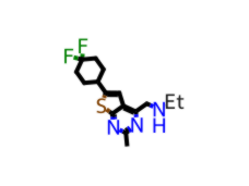 CCNCc1nc(C)nc2sc(C3CCC(F)(F)CC3)cc12